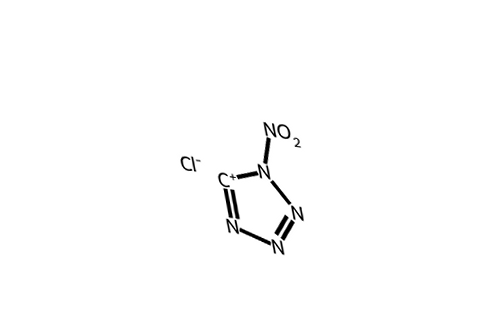 O=[N+]([O-])N1[C+]=NN=N1.[Cl-]